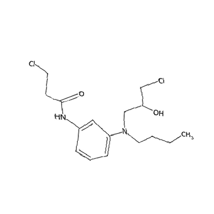 CCCCN(CC(O)CCl)c1cccc(NC(=O)CCCl)c1